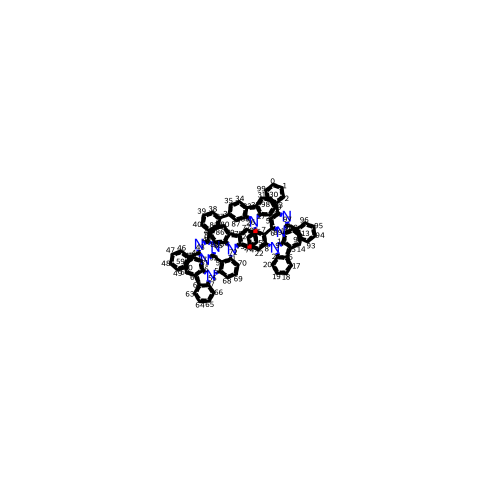 c1ccc(-c2cc(-c3c(-n4c5ccccc5c5ccccc54)cccc3-n3c4ccccc4c4ccc(-c5cccc(-c6nc(-c7ccccc7)nc(-c7c(-n8c9ccccc9c9ccccc98)cccc7-n7c8ccccc8c8ccccc87)n6)c5)cc43)nc(-c3ccccc3)n2)cc1